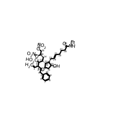 C=CC(CCc1ccccc1)C(C(=O)O)C(C[C@H](CO[N+](=O)[O-])O[N+](=O)[O-])[C@@H]1[C@@H](CC=CCCCC(=O)NCC)[C@@H](O)C[C@H]1O